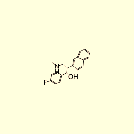 CNC[C@H](c1ccc2ccccc2c1)[C@H](O)c1ccc(F)cc1